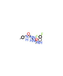 Cc1ccc(CNC(=O)C(C)(C)n2cnc(NC(=O)C(C)NC3CCc4cc(F)cc(F)c4C3)c2)cc1